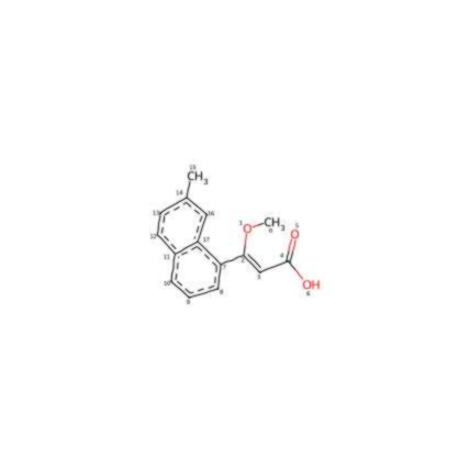 COC(=CC(=O)O)c1cccc2ccc(C)cc12